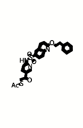 CC(=O)SCC(=O)c1ccc(NS(=O)(=O)c2ccc3nc(OCCc4ccccc4)ccc3c2)nc1